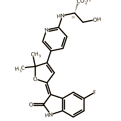 CC1(C)OC(=C2C(=O)Nc3ccc(F)cc32)C=C1c1ccc(N[C@@H](CO)C(=O)O)nc1